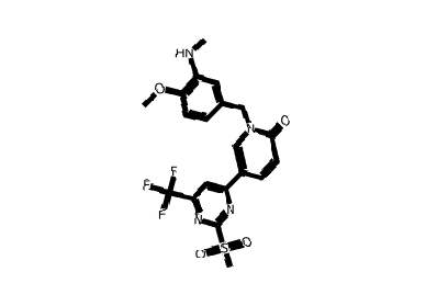 CNc1cc(Cn2cc(-c3cc(C(F)(F)F)nc(S(C)(=O)=O)n3)ccc2=O)ccc1OC